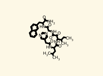 CCC(C)C(NC(=O)C(CC(C)C)NC(=O)Cc1cncnc1)C(=O)C(=O)NCC(=O)NC(Cc1ccc2ccccc2c1)C(N)=O